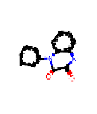 O=C1[N]c2ccccc2N(c2ccccc2)C1=O